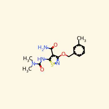 Cc1cccc(COc2nsc(NC(=O)N(C)C)c2C(N)=O)c1